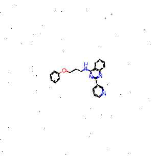 c1ccc(OCCCNc2nc(-c3cccnc3)nc3ccccc23)cc1